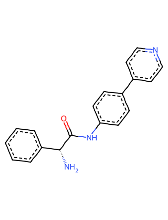 N[C@@H](C(=O)Nc1ccc(-c2ccncc2)cc1)c1ccccc1